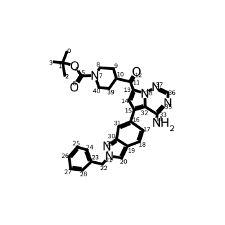 CC(C)(C)OC(=O)N1CCC(C(=O)c2cc(-c3ccc4cn(Cc5ccccc5)nc4c3)c3c(N)ncnn23)CC1